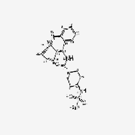 CC(C)(C)S(=O)(=O)N[C@H]1CC[C@H](C(=O)Nc2c3ccccc3nc3ccccc23)CC1